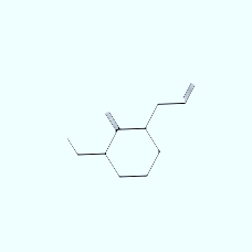 C=CCC1CCCC(CC(=O)O)C1=C